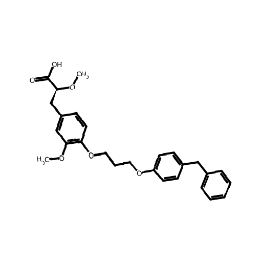 COc1cc(C[C@H](OC)C(=O)O)ccc1OCCCOc1ccc(Cc2ccccc2)cc1